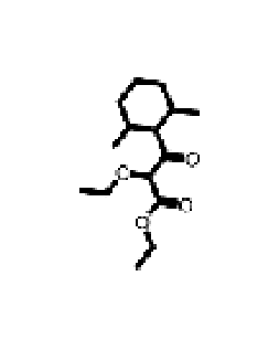 CCOC(=O)C(OCC)C(=O)C1C(C)CCCC1C